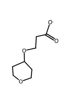 [O]C(=O)CCOC1CCOCC1